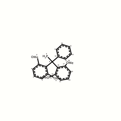 COc1cccc(OC)c1C(P)(c1ccccc1)c1c(OC)cccc1OC